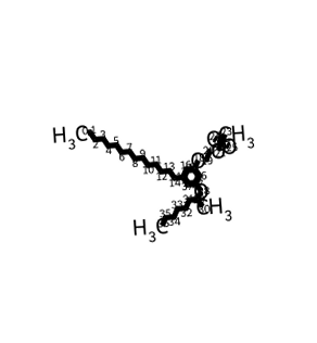 CCCCCCCCCCCCCCCc1cc(OCCOS(C)(=O)=O)cc(OC(C)CCCCCC)c1